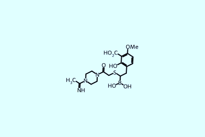 COc1ccc(CC(SCC(=O)N2CCN(C(C)=N)CC2)B(O)O)c(O)c1C(=O)O